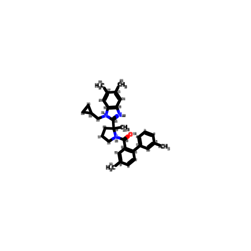 Cc1cccc(-c2ccc(C)cc2C(=O)N2CCCC2(C)c2nc3cc(C)c(C)cc3n2CC2CC2)c1